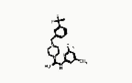 C=C(Nc1cc(C)cc(C)n1)N1CCN(Cc2cc#cc(C(F)(F)F)c2)CC1